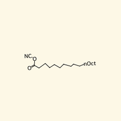 CCCCCCCCCCCCCCCCCC(=O)OC#N